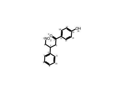 O=C(CC(C[N+](=O)[O-])c1ccccc1)c1ccc(O)cc1